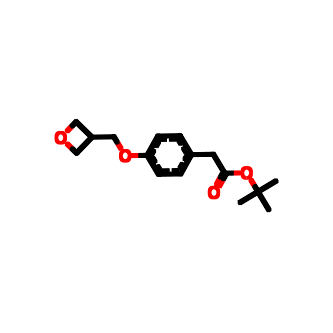 CC(C)(C)OC(=O)Cc1ccc(OCC2COC2)cc1